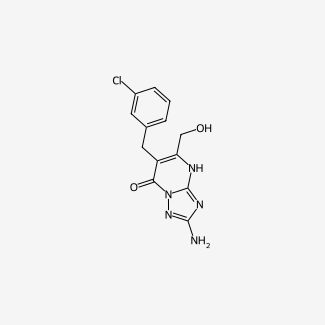 Nc1nc2[nH]c(CO)c(Cc3cccc(Cl)c3)c(=O)n2n1